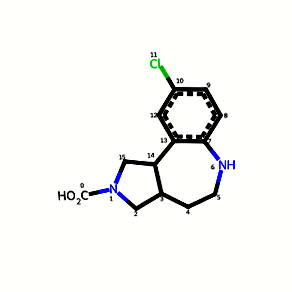 O=C(O)N1CC2CCNc3ccc(Cl)cc3C2C1